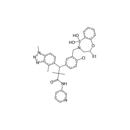 CCC1CN(Cc2cc(C(c3ccc4c(nnn4C)c3C)C(C)(C)C(=O)Nc3cccnc3)ccc2Cl)S(O)(O)c2ccccc2O1